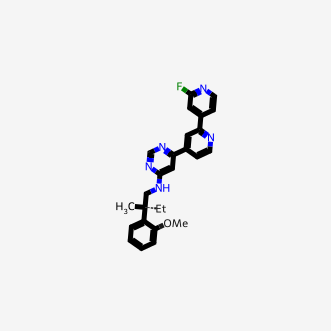 CC[C@](C)(CNc1cc(-c2ccnc(-c3ccnc(F)c3)c2)ncn1)c1ccccc1OC